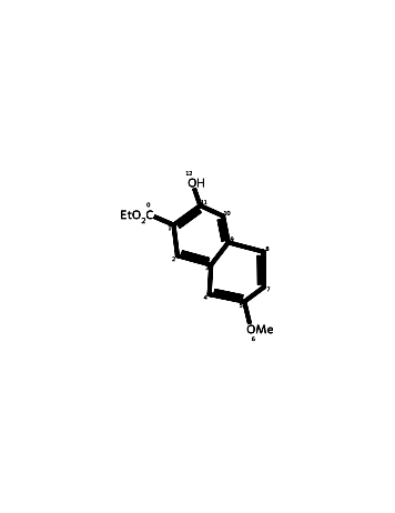 CCOC(=O)c1cc2cc(OC)ccc2cc1O